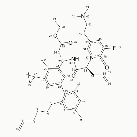 C=CCCCCc1cc(C)cc(C)c1-c1cc(C2CC2)c(F)c([C@H](CC(=O)OCC)NC(=O)[C@H](CC=C)n2cc(CCN(C)C)cc(F)c2=O)c1